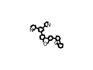 c1cncc(-c2cc(-c3cccnc3)cc(-c3ccc4c(c3)-c3ccc(-c5cccc6c5oc5ccccc56)cc3COC4)c2)c1